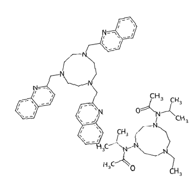 CCN1CCN(N(C(C)=O)C(C)C)CCN(N(C(C)=O)C(C)C)CC1.c1ccc2nc(CN3CCN(Cc4ccc5ccccc5n4)CCN(Cc4ccc5ccccc5n4)CC3)ccc2c1